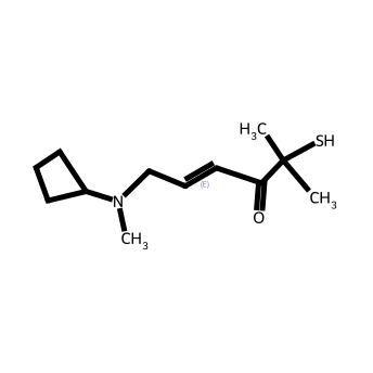 CN(C/C=C/C(=O)C(C)(C)S)C1CCC1